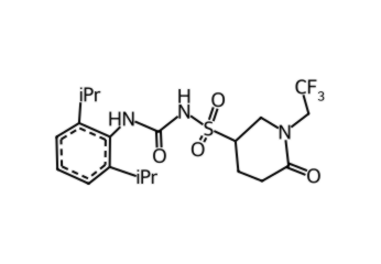 CC(C)c1cccc(C(C)C)c1NC(=O)NS(=O)(=O)C1CCC(=O)N(CC(F)(F)F)C1